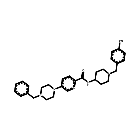 N#Cc1ccc(CN2CCC(NC(=O)c3ccc(N4CCN(Cc5ccccc5)CC4)cn3)CC2)cc1